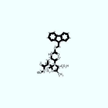 C[C@H]1OC(C)(C)N(C(=O)[C@H](CCC(=O)OC(C)(C)C)NC(=O)OCC2c3ccccc3-c3ccccc32)[C@@H]1C(=O)O